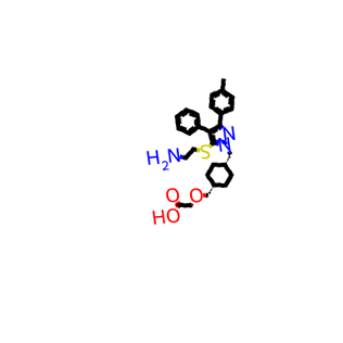 Cc1ccc(-c2nn(C[C@H]3CC[C@@H](COCC(=O)O)CC3)c(SCCN)c2-c2ccccc2)cc1